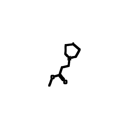 COC(=O)CCN1CC[CH]CC1